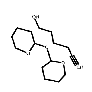 C#CCCCCO.C1CCC(OC2CCCCO2)OC1